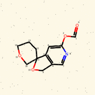 O=COc1cc2c(cn1)COC21CCCOC1